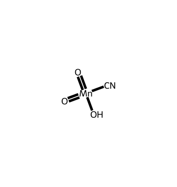 N#[C][Mn](=[O])(=[O])[OH]